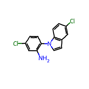 Nc1cc(Cl)ccc1-n1ccc2cc(Cl)ccc21